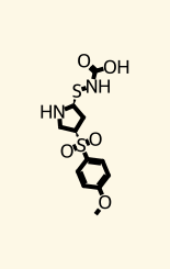 COc1ccc(S(=O)(=O)[C@@H]2CN[C@H](SNC(=O)O)C2)cc1